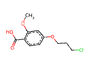 COc1cc(OCCCCl)ccc1C(=O)O